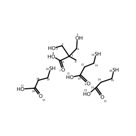 CC(CO)(CO)C(=O)O.O=C(O)CCS.O=C(O)CCS.O=C(O)CCS